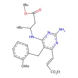 CCCCC(CC(=O)OC(C)(C)C)Nc1nc(N)nc(C=CC(=O)OCC)c1Cc1ccccc1OC